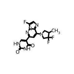 CC1CN(c2cc(-c3c[nH]c(=O)[nH]c3=O)nn3c(F)cnc23)CC1(F)F